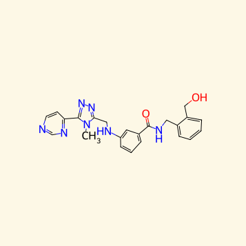 Cn1c(CNc2cccc(C(=O)NCc3ccccc3CO)c2)nnc1-c1ccncn1